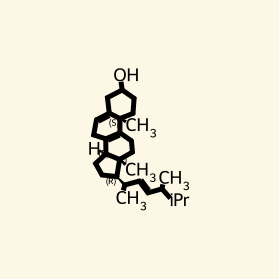 CC(C)C(C)C=CC(C)[C@H]1CC[C@H]2C3=C(CC[C@]12C)[C@@]1(C)CCC(O)CC1=CC3